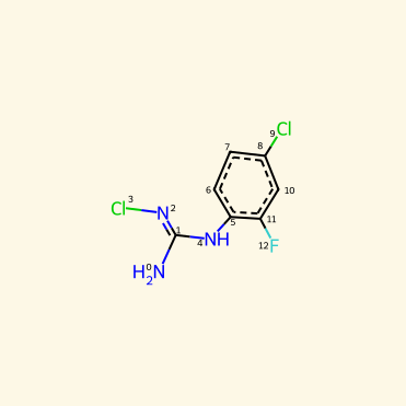 NC(=NCl)Nc1ccc(Cl)cc1F